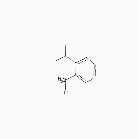 CC(C)c1ccccc1[SiH2]Cl